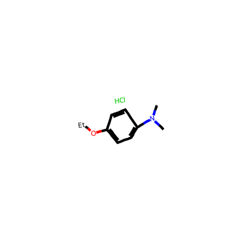 CCOc1ccc(N(C)C)cc1.Cl